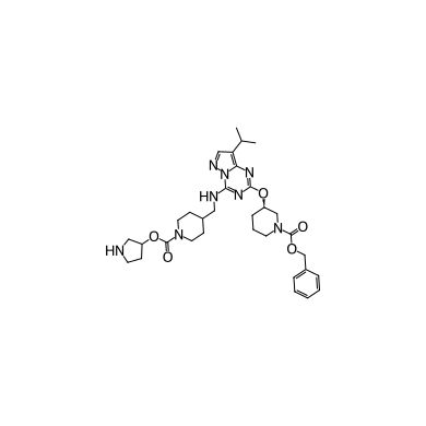 CC(C)c1cnn2c(NCC3CCN(C(=O)OC4CCNC4)CC3)nc(O[C@@H]3CCCN(C(=O)OCc4ccccc4)C3)nc12